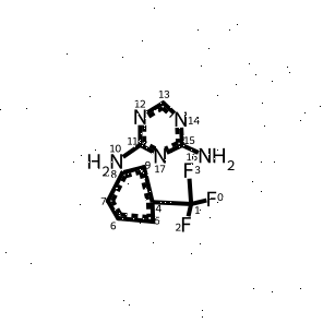 FC(F)(F)c1ccccc1.Nc1ncnc(N)n1